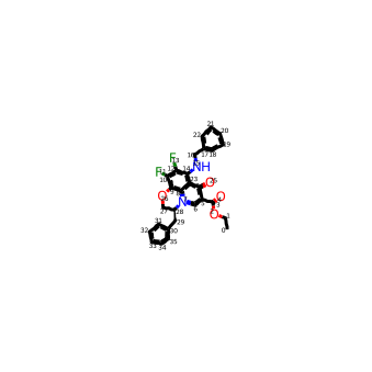 CCOC(=O)c1cn2c3c(c(F)c(F)c(NCc4ccccc4)c3c1=O)OC[C@@H]2Cc1ccccc1